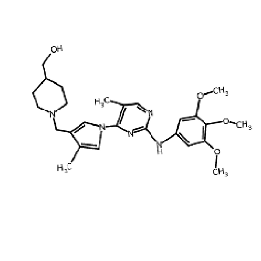 COc1cc(Nc2ncc(C)c(-n3cc(C)c(CN4CCC(CO)CC4)c3)n2)cc(OC)c1OC